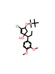 CCC(c1ccc(OC)c(OC)c1)C1(O)C=C(Cl)C(O[Si](C)(C)C(C)(C)C)C1